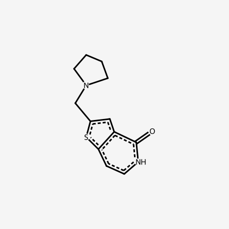 O=c1[nH]ccc2sc(CN3CCCC3)cc12